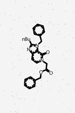 CCCCc1nc2ccn(CC(=O)OCc3ccccc3)c(=O)c2n1Cc1ccccc1